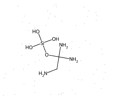 NCC(N)(N)O[Si](O)(O)O